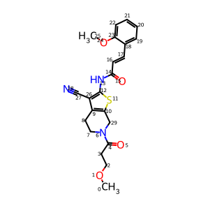 COCCC(=O)N1CCc2c(sc(NC(=O)C=Cc3ccccc3OC)c2C#N)C1